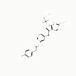 CC(C)(CO)n1cc(C(=O)c2cncc(NC(=O)Cc3ccc(Cl)cc3)c2)c2cnc(N)nc21